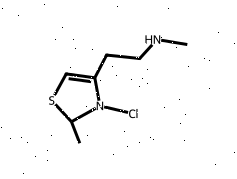 CNCCC1=CSC(C)N1Cl